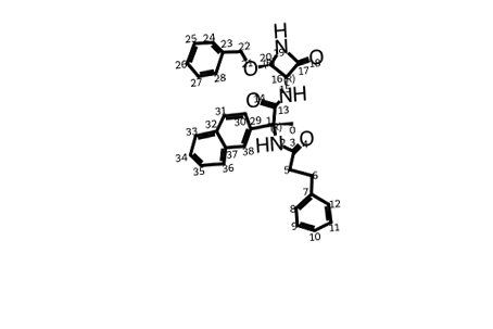 C[C@](NC(=O)CCc1ccccc1)(C(=O)N[C@H]1C(=O)N[C@@H]1OCc1ccccc1)c1ccc2ccccc2c1